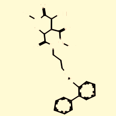 CC(C)OC(=O)C(C)C(C(=O)OC(C)C)C(C)C(=O)OCCCCOc1ccccc1-c1ccccc1